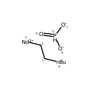 CCCCC[CH2][Nd+2].O=[PH]([O-])[O-]